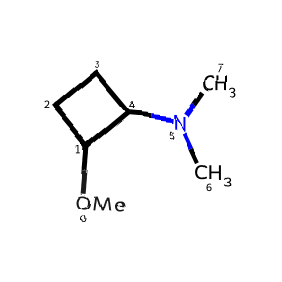 COC1CCC1N(C)C